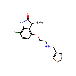 CSC1C(=O)Nc2c(F)ccc(OCCNCc3ccsc3)c21